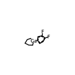 Fc1cc[c]([Ga]2[CH2]CCC[CH2]2)cc1F